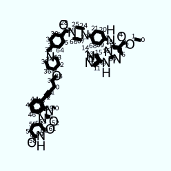 CCOC(=O)c1cnc(Nc2cnn(C)c2)nc1NC1CCC(N2CCN(C(=O)C3CCC(CN4CCC(OCCC#Cc5cccc6c5n(C)c(=O)n6C5CCC(=O)NC5=O)CC4)CC3)CC2)CC1